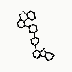 c1cc(-c2ccc(-c3cccc4c3sc3ccccc34)cc2)cc(-c2cccc3c2-c2ccccc2OC3)c1